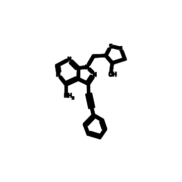 Nc1ncnc2c1c(C#Cc1ccccc1)nn2CC1SSCC1O